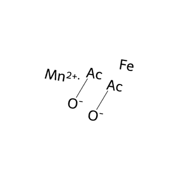 CC(=O)[O-].CC(=O)[O-].[Fe].[Mn+2]